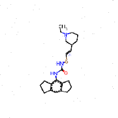 CCN1CCCC(/C=C/SNC(=O)Nc2c3c(cc4c2CCC4)CCC3)C1